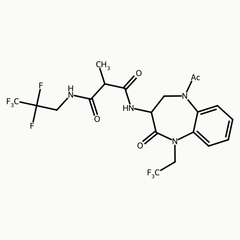 CC(=O)N1CC(NC(=O)C(C)C(=O)NCC(F)(F)C(F)(F)F)C(=O)N(CC(F)(F)F)c2ccccc21